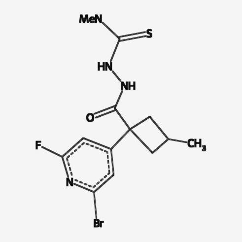 CNC(=S)NNC(=O)C1(c2cc(F)nc(Br)c2)CC(C)C1